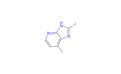 Cc1ccnc2[nH]c(I)nc12